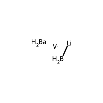 [BaH2].[Li][BH2].[V]